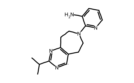 CC(C)c1n[c]c2c(n1)CCN(c1ncccc1N)CC2